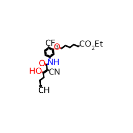 C#CCC/C(O)=C(\C#N)C(=O)Nc1ccc(C(F)(F)F)c(OCCCCCC(=O)OCC)c1